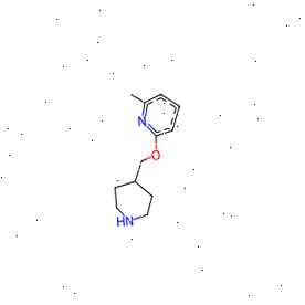 Cc1cccc(OCC2CCNCC2)n1